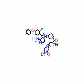 CCN1CCN(C(C)(C)C=C(C#N)C(=O)N2CCC[C@@H](n3nc(-c4ccc(Oc5ccccc5)cc4F)c4c(N)nccc43)C2)CC1=O